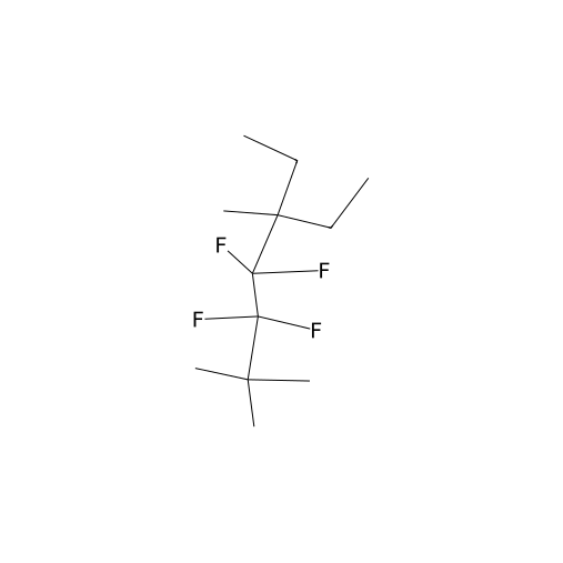 CCC(C)(CC)C(F)(F)C(F)(F)C(C)(C)C